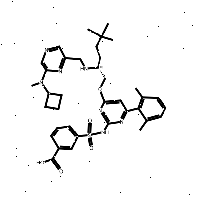 Cc1cccc(C)c1-c1cc(OC[C@@H](CCC(C)(C)C)NCc2cncc(N(C)C3CCC3)n2)nc(NS(=O)(=O)c2cccc(C(=O)O)c2)n1